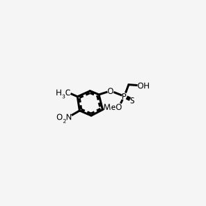 COP(=S)(CO)Oc1ccc([N+](=O)[O-])c(C)c1